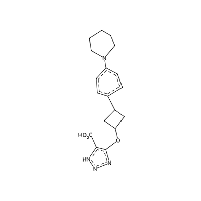 O=C(O)c1[nH]nnc1OC1CC(c2ccc(N3CCCCC3)cc2)C1